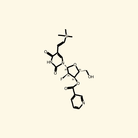 C[Si](C)(C)C=Cc1cn([C@@H]2O[C@H](CO)[C@@H](OC(=O)c3cccnc3)[C@H]2F)c(=O)[nH]c1=O